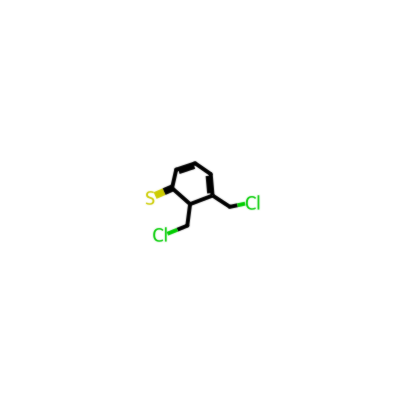 S=C1C=CC=C(CCl)C1CCl